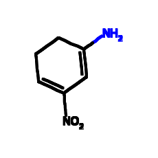 NC1=CC([N+](=O)[O-])=CCC1